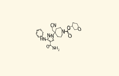 N#CCC1(n2cc(C(N)=O)c(Nc3ccccc3)n2)CCN(C(=O)OC2CCOC2)CC1